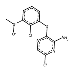 C[S+]([O-])c1cccc(Sc2ncc(Cl)nc2N)c1Cl